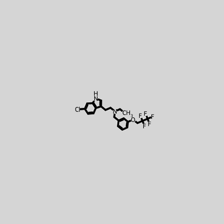 CCN(CCc1c[nH]c2cc(Cl)ccc12)Cc1cccc(OCC(F)(F)C(F)(F)F)c1